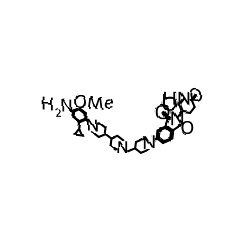 COc1cc(N2CCC(C3CCN(CC4CCN(c5ccc6c(c5)C(=O)N(C5CCC(=O)NC5=O)C6=O)CC4)CC3)CC2)c(C2CC2)cc1N